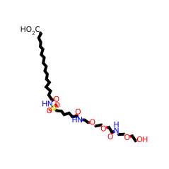 O=C(O)CCCCCCCCCCCCCCCCC(=O)NS(=O)(=O)CCCCCC(=O)NCCOCCOCC(=O)NCCOCCO